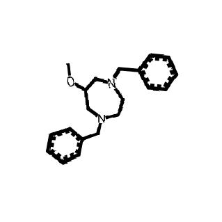 COC1CN(Cc2ccccc2)CCN(Cc2ccccc2)C1